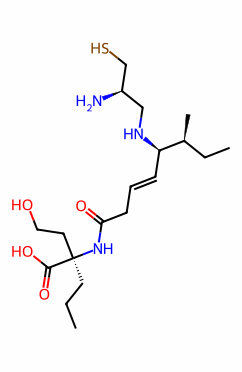 CCC[C@](CCO)(NC(=O)C/C=C/[C@@H](NC[C@@H](N)CS)[C@@H](C)CC)C(=O)O